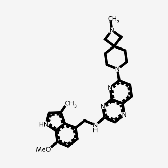 COc1ccc(CNc2cnc3ccc(N4CCC5(CC4)CN(C)C5)nc3n2)c2c(C)c[nH]c12